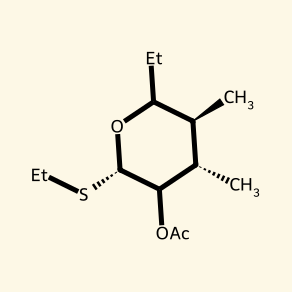 CCS[C@@H]1OC(CC)[C@@H](C)[C@H](C)C1OC(C)=O